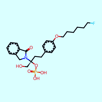 O=C1c2ccccc2CN1[C@](CO)(CCc1ccc(OCCCCCCF)cc1)OP(=O)(O)O